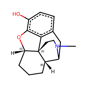 CN1CC[C@]23c4c5ccc(O)c4O[C@H]2CCC[C@H]3C1C5